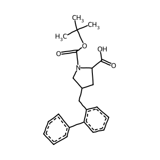 CC(C)(C)OC(=O)N1CC(Cc2ccccc2-c2ccccc2)CC1C(=O)O